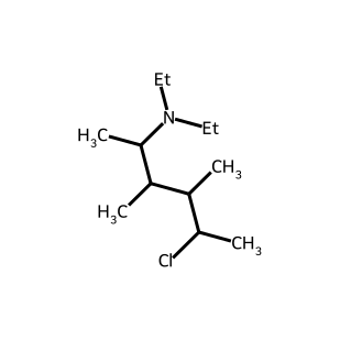 CCN(CC)C(C)C(C)C(C)C(C)Cl